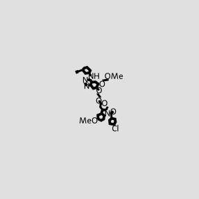 C#Cc1cccc(Nc2ncnc3cc(OCCOC(=O)Cc4c(C)n(C(=O)c5ccc(Cl)cc5)c5ccc(OC)cc45)c(OCCOC)cc23)c1